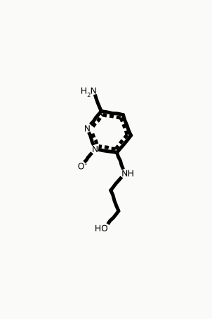 Nc1ccc(NCCO)[n+]([O-])n1